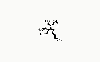 CCCCSC(N(CC)CC)=[N+](CC)CC.[I-]